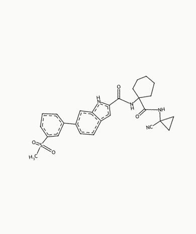 CS(=O)(=O)c1cccc(-c2ccc3cc(C(=O)NC4(C(=O)NC5(C#N)CC5)CCCCC4)[nH]c3c2)c1